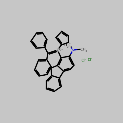 CN(C)c1ccc2c([c]1[Zr+2]([C]1=CC=CC1)=[C](c1ccccc1)c1ccccc1)Cc1ccccc1-2.[Cl-].[Cl-]